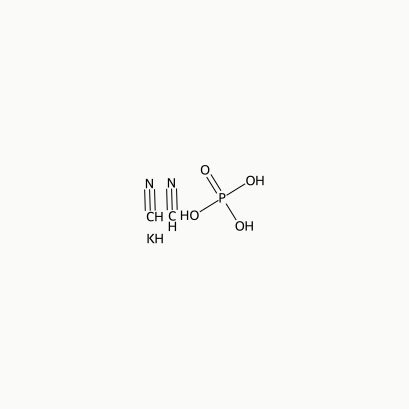 C#N.C#N.O=P(O)(O)O.[KH]